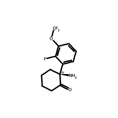 N[C@]1(c2cccc(OC(F)(F)F)c2F)CCCCC1=O